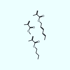 C=C(C)C(=O)OC.C=C(C)C(=O)OCC=CC=CC.C=C(C)C(=O)OCCCC